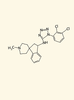 CN1CCC2(CC1)CC(Nc1nnnn1-c1cccc(Cl)c1Cl)c1ccccc12